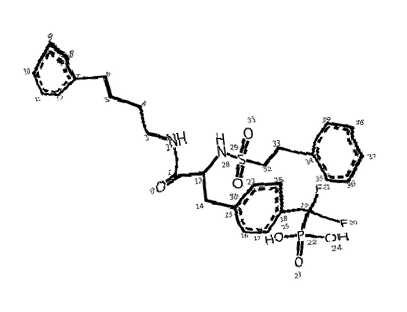 O=C(NCCCCc1ccccc1)C(Cc1ccc(C(F)(F)P(=O)(O)O)cc1)NS(=O)(=O)CCc1ccccc1